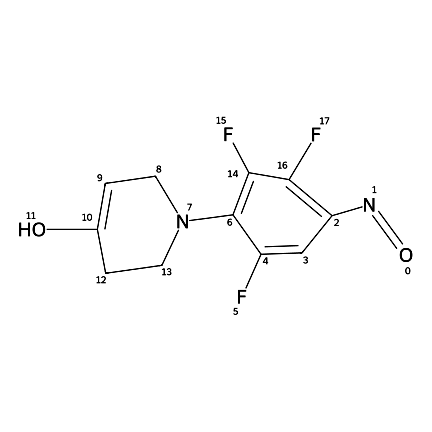 O=Nc1cc(F)c(N2CC=C(O)CC2)c(F)c1F